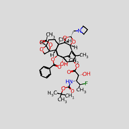 C=C1C2=C(C)[C@@H](OC(=O)[C@H](O)[C@@H](NC(=O)OC(C)(C)C)[C@H](C)F)C[C@@]1(O)[C@@H](OC(=O)c1ccccc1)[C@H]1[C@@](C)(CC[C@H]3OC[C@]31OC(C)=O)[C@@H]1O[C@H](CN3CCC3)O[C@H]21